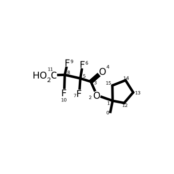 CC1(OC(=O)C(F)(F)C(F)(F)C(=O)O)CCCC1